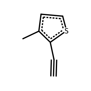 C#Cc1sccc1C